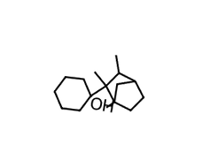 CC1C2CCC(C)(C2)C1(C)C1(O)CCCCC1